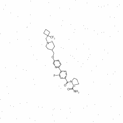 NC(=O)[C@@H]1CCCN1C(=O)c1ccc(-c2ccc(OCC3CCN(CC4(C(F)(F)F)CCC4)CC3)cn2)c(F)c1